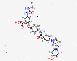 CC(C)NC(=O)Nc1ccc(Oc2ccc(NC(=O)c3ccc(-n4ccc(CN5CCC(O)CC5)c4)cc3)cc2)c(C(=O)O)c1